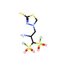 NC(CN1CSC(S)=N1)C(S(=O)(=O)Cl)S(=O)(=O)Cl